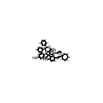 C=CCNC(=O)C1[C@@H]2C(=O)O[C@@H](c3ccccc3)[C@@H](c3ccccc3)N2[C@@H](c2ccc(O)cc2)[C@]12C(=O)Nc1ccc(C#CC3(O)CCCCCC3)cc12